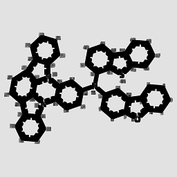 c1ccc2c(c1)oc1ccc(N(c3ccc4c(c3)n3c5ccccc5c5ccc6c7ccccc7n4c6c53)c3cccc4c3sc3ccccc34)cc12